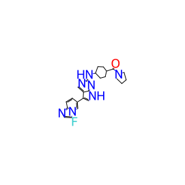 O=C(C1CCC(Nc2ncc3c(-c4ccc5ncc(F)n5c4)c[nH]c3n2)CC1)N1CCCC1